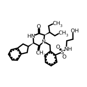 C=C1[C@@H](C2Cc3ccccc3C2)NC(=O)[C@@H](C(CC)CC)N1Cc1ccccc1S(=O)(=O)NCCO